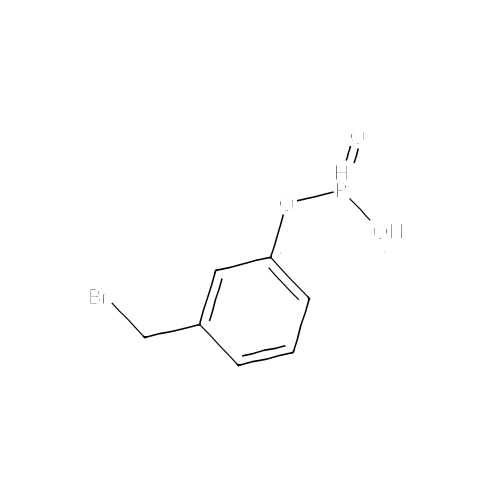 O=[PH](O)Oc1cccc(CBr)c1